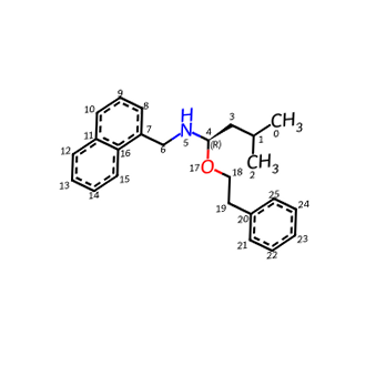 CC(C)C[C@H](NCc1cccc2ccccc12)OCCc1ccccc1